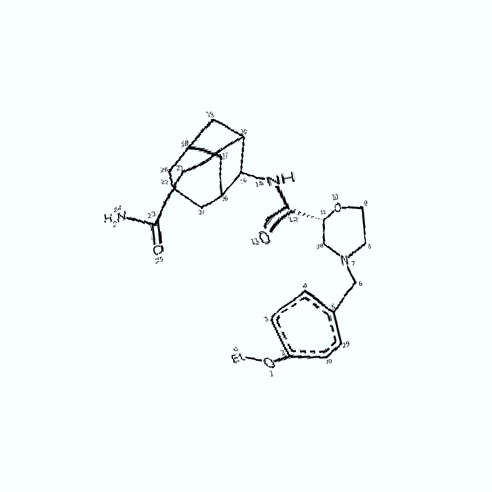 CCOc1ccc(CN2CCO[C@@H](C(=O)NC3C4CC5CC3CC(C(N)=O)(C5)C4)C2)cc1